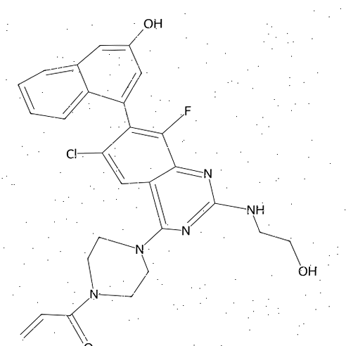 C=CC(=O)N1CCN(c2nc(NCCO)nc3c(F)c(-c4cc(O)cc5ccccc45)c(Cl)cc23)CC1